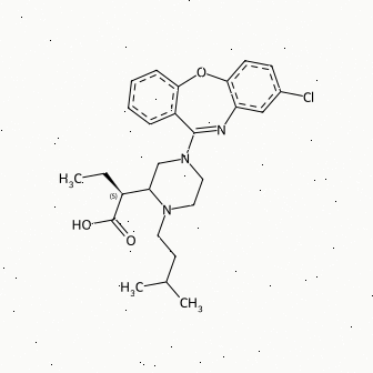 CC[C@H](C(=O)O)C1CN(C2=Nc3cc(Cl)ccc3Oc3ccccc32)CCN1CCC(C)C